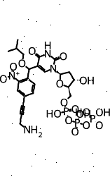 CC(C)COC(c1ccc(C#CCN)cc1[N+](=O)[O-])c1cn([C@H]2C[C@H](O)[C@@H](COP(=O)(O)OP(=O)(O)OP(=O)(O)O)O2)c(=O)[nH]c1=O